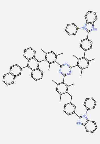 Cc1cc(C)c(-c2nc(-c3c(C)cc(C)c(-c4ccc(-c5[nH]c6ccccc6[n+]5-c5ccccc5)cc4)c3C)nc(-c3c(C)cc(C)c(-c4c5ccccc5c(-c5ccc6ccccc6c5)c5ccccc45)c3C)n2)c(C)c1Cc1cccc(-c2[nH]c3ccccc3[n+]2-c2ccccc2)c1